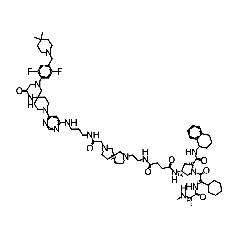 CN[C@@H](C)C(=O)N[C@H](C(=O)N1C[C@@H](NC(=O)CCC(=O)NCCN2CC[C@]3(CCN(CC(=O)NCCCNc4cc(N5CCC6(CC5)CN(c5cc(F)c(CN7CCC(C)(C)CC7)cc5F)CC(=O)N6)ncn4)C3)C2)C[C@H]1C(=O)NC1CCCc2ccccc21)C1CCCCC1